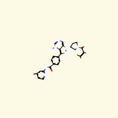 CC(C)=C(C#N)C(=O)N1CC[C@@H](N2NC(c3ccc(C(=O)Nc4cc(C)ccn4)cc3)=C3C2=CN=CN3N)C1